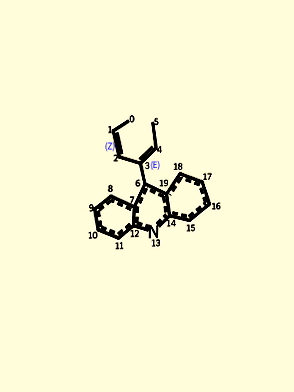 C/C=C\C(=C/C)c1c2ccccc2nc2ccccc12